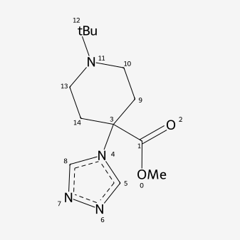 COC(=O)C1(n2cnnc2)CCN(C(C)(C)C)CC1